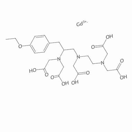 CCOc1ccc(CC(CN(CCN(CC(=O)O)CC(=O)O)CC(=O)O)N(CC(=O)O)CC(=O)O)cc1.[Gd+3]